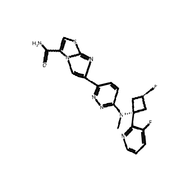 CN(c1ccc(-c2cn3c(C(N)=O)csc3n2)nn1)[C@]1(c2ncccc2F)C[C@@H](F)C1